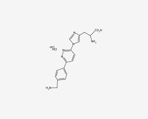 Cl.Cl.NCc1ccc(-c2ccc(-n3cnc(CC(N)C(=O)O)c3)nn2)cc1